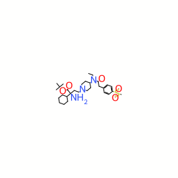 CCN(C(=O)Cc1ccc(S(C)(=O)=O)cc1)C1CCN(CCC(N)(C(=O)OC(C)(C)C)C2CCCCC2)CC1